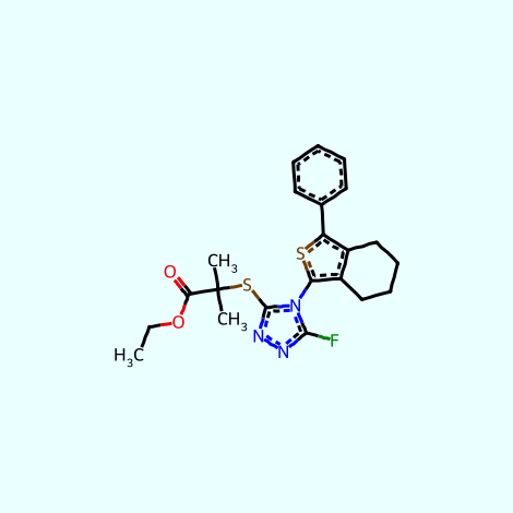 CCOC(=O)C(C)(C)Sc1nnc(F)n1-c1sc(-c2ccccc2)c2c1CCCC2